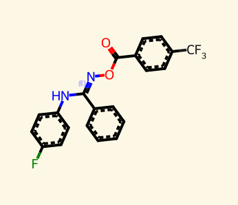 O=C(O/N=C(/Nc1ccc(F)cc1)c1ccccc1)c1ccc(C(F)(F)F)cc1